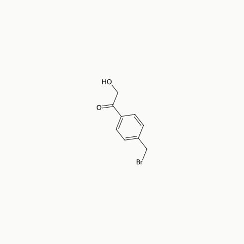 O=C(CO)c1ccc(CBr)cc1